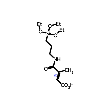 CCO[Si](CCCNC(=O)/C(C)=C/C(=O)O)(OCC)OCC